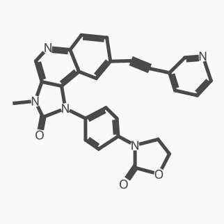 Cn1c(=O)n(-c2ccc(N3CCOC3=O)cc2)c2c3cc(C#Cc4cccnc4)ccc3ncc21